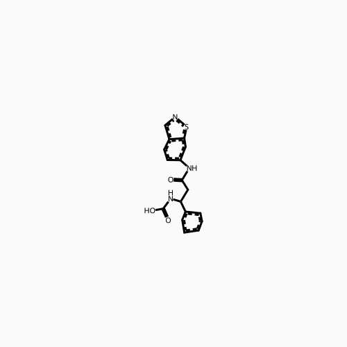 O=C(O)NC(CC(=O)Nc1ccc2cnsc2c1)c1ccccc1